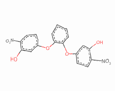 O=[N+]([O-])c1ccc(Oc2ccccc2Oc2ccc([N+](=O)[O-])c(O)c2)cc1O